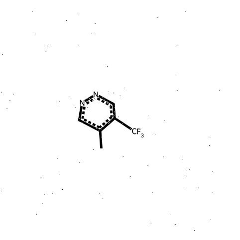 Cc1cnncc1C(F)(F)F